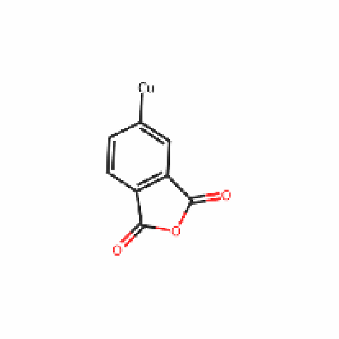 O=C1OC(=O)c2c[c]([Cu])ccc21